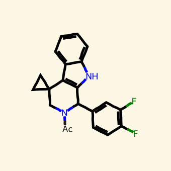 CC(=O)N1CC2(CC2)c2c([nH]c3ccccc23)C1c1ccc(F)c(F)c1